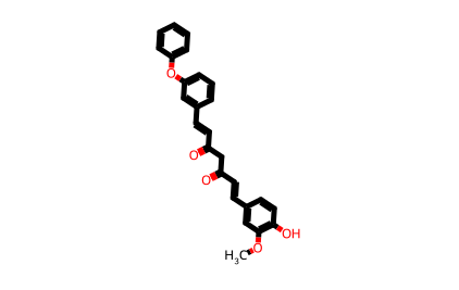 COc1cc(/C=C/C(=O)CC(=O)/C=C/c2cccc(Oc3ccccc3)c2)ccc1O